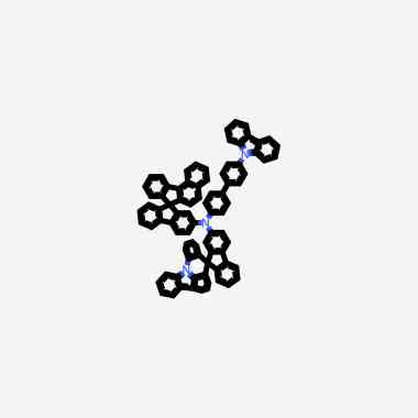 c1ccc2c(c1)-c1ccc(N(c3ccc(-c4ccc(-n5c6ccccc6c6ccccc65)cc4)cc3)c3ccc4c(c3)C3(c5ccccc5-4)c4ccccc4-n4c5ccccc5c5cccc3c54)cc1C21c2ccccc2-c2c1ccc1ccccc21